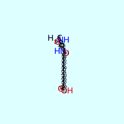 CNC(=O)C1CCC(CNC(=O)CCCCCCCCCCCCCCCCCCC(=O)O)CC1